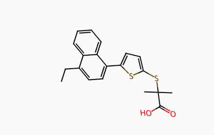 CCc1ccc(-c2ccc(SC(C)(C)C(=O)O)s2)c2ccccc12